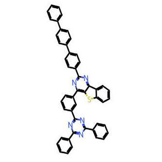 c1ccc(-c2ccc(-c3ccc(-c4nc(-c5cccc(-c6nc(-c7ccccc7)nc(-c7ccccc7)n6)c5)c5sc6ccccc6c5n4)cc3)cc2)cc1